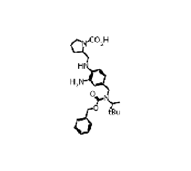 C[C@H](N(Cc1ccc(NCC2CCCN2C(=O)O)c(N)c1)C(=O)OCc1ccccc1)C(C)(C)C